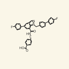 O=C(O)c1ccc(CNC(=O)c2cc(-c3ccc(F)cc3)cc3cnn(Cc4ccc(-c5ccc(F)cc5)cc4)c23)cc1